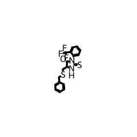 O=C1C(CSCc2ccccc2)NC(=S)N1c1ccccc1C(F)(F)F